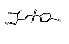 C=CC(/C=C/S(=O)(=O)c1ccc(C)cc1)C(=O)O